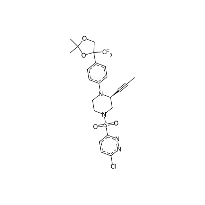 CC#C[C@H]1CN(S(=O)(=O)c2ccc(Cl)nn2)CCN1c1ccc(C2(C(F)(F)F)COC(C)(C)O2)cc1